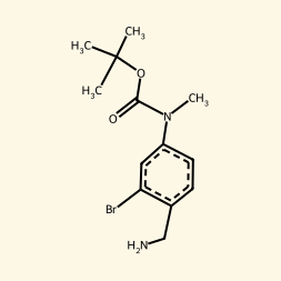 CN(C(=O)OC(C)(C)C)c1ccc(CN)c(Br)c1